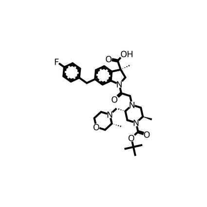 C[C@@H]1COCCN1C[C@H]1CN(C(=O)OC(C)(C)C)[C@H](C)CN1CC(=O)N1C[C@](C)(C(=O)O)c2ccc(Cc3ccc(F)cc3)cc21